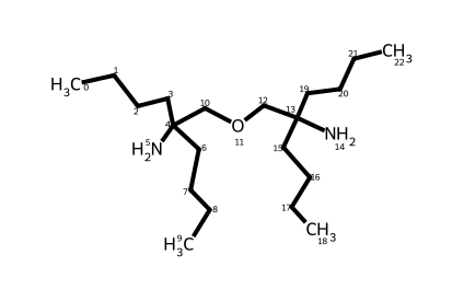 CCCCC(N)(CCCC)COCC(N)(CCCC)CCCC